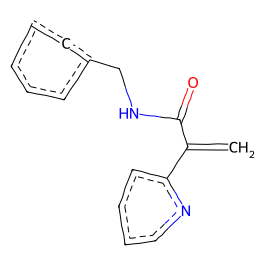 C=C(C(=O)NCc1ccccc1)c1ccccn1